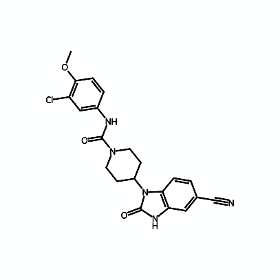 COc1ccc(NC(=O)N2CCC(n3c(=O)[nH]c4cc(C#N)ccc43)CC2)cc1Cl